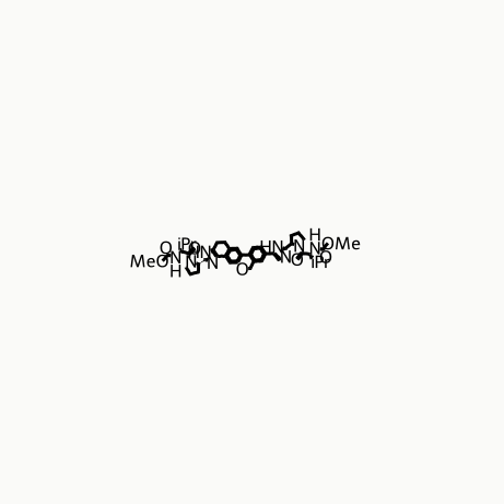 COC(=O)NC(C(=O)N1CCCC1c1ncc(-c2ccc3c(c2)COc2cc4c(cc2-3)CCc2[nH]c([C@@H]3CCCN3C(=O)[C@@H](NC(=O)OC)C(C)C)nc2-4)[nH]1)C(C)C